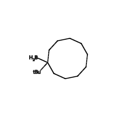 BC1(C(C)(C)C)CCCCCCCCC1